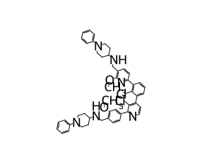 COc1cc(-c2nccc(-c3cccc(-c4ccc(CNC5CCN(c6ccccc6)CC5)c(OC)n4)c3Cl)c2Cl)ccc1CNC1CCN(c2ccccc2)CC1